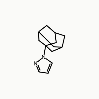 [c]1ccn(C23CC4CC(CC(C4)C2)C3)n1